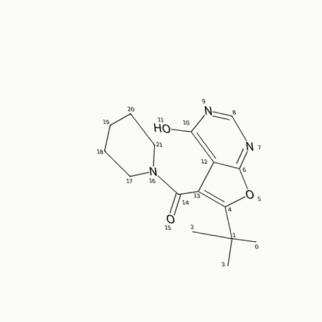 CC(C)(C)c1oc2ncnc(O)c2c1C(=O)N1CCCCC1